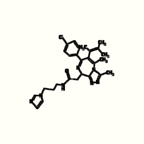 CC(C)=C(C)C1=C(C)n2c(C)nnc2C(CC(=O)NCCCn2ccnc2)N=C1c1ccc(Cl)cc1